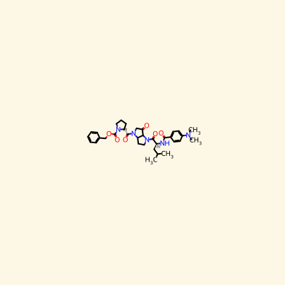 CC(C)C[C@H](NC(=O)c1ccc(N(C)C)cc1)C(=O)N1CCC2C1C(=O)CN2C(=O)[C@H]1CCCN1C(=O)OCc1ccccc1